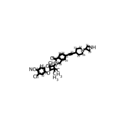 CC1(C)C(Oc2ccc(C#N)c(Cl)c2)C(C)(C)C1N1Cc2cc(C#CC3CCN(C4CNC4)CC3)ccc2C1=O